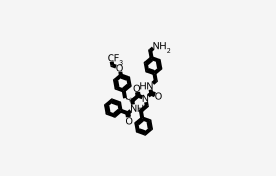 NCc1ccc(CNC(=O)N(CCc2ccccc2)C(=O)[C@@H](Cc2ccc(OCC(F)(F)F)cc2)NC(=O)c2ccccc2)cc1